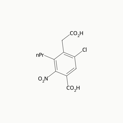 CCCc1c(CC(=O)O)c(Cl)cc(C(=O)O)c1[N+](=O)[O-]